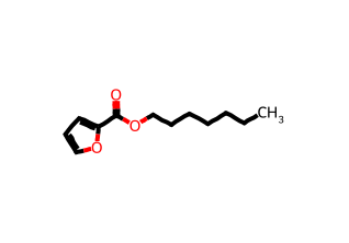 CCCCCCCOC(=O)c1ccco1